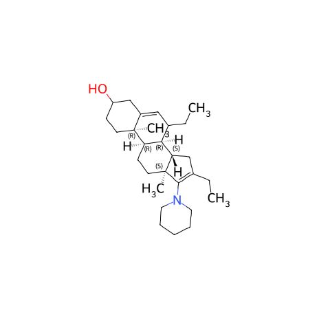 CCC1=C(N2CCCCC2)[C@@]2(C)CC[C@@H]3[C@@H](C(CC)C=C4CC(O)CC[C@@]43C)[C@@H]2C1